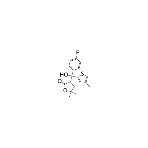 Cc1csc(C(O)(c2ccc(F)cc2)C2CC(C)(C)OC2=O)c1